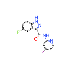 O=C(Nc1cc(I)ccn1)c1n[nH]c2ccc(F)cc12